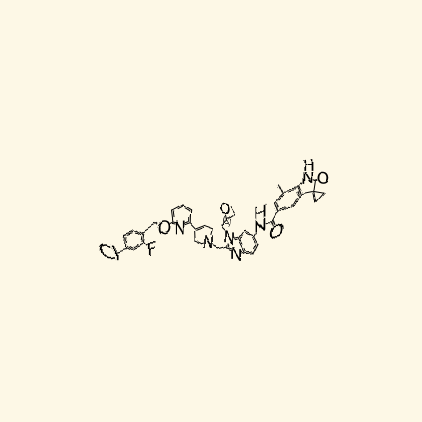 Cc1cc(C(=O)Nc2ccc3nc(CN4CC=C(c5cccc(OCc6ccc(Cl)cc6F)n5)CC4)n(C[C@@H]4CCO4)c3c2)cc2c1NC(=O)C21CC1